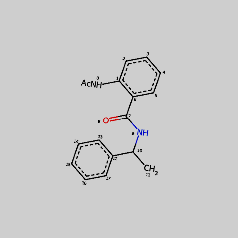 CC(=O)Nc1ccccc1C(=O)NC(C)c1ccccc1